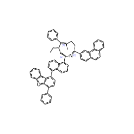 CCC1/C=C(c2cccc3c(-c4ccc(-c5ccccc5)c5oc6ccccc6c45)cccc23)\N=C(\c2ccc3ccc4ccccc4c3c2)CC/C(C)=C/1c1ccccc1